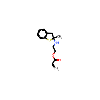 C=CC(=O)OCCNC1(C)Cc2ccccc2S1